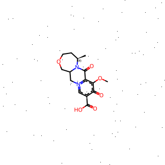 COc1c2n(cc(C(=O)O)c1=O)CC1COCC[C@@H](C)N1C2=O